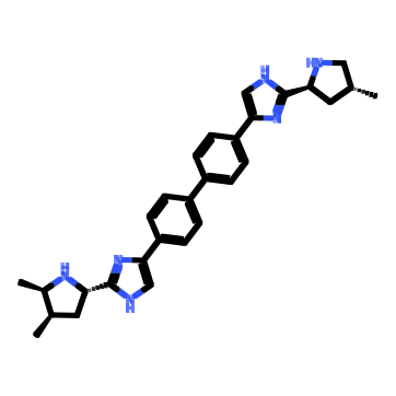 C[C@H]1CN[C@H](c2nc(-c3ccc(-c4ccc(-c5c[nH]c([C@@H]6C[C@@H](C)[C@@H](C)N6)n5)cc4)cc3)c[nH]2)C1